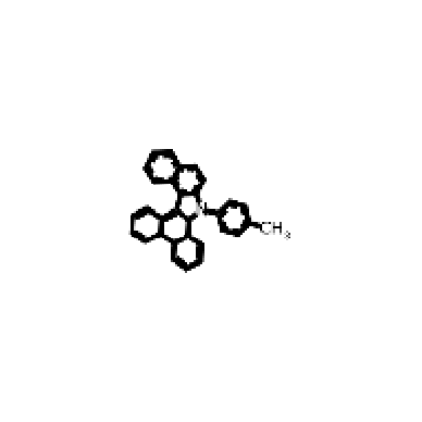 Cc1ccc(N2c3ccc4ccccc4c3C3=C4C=CC=CC4C4C=CC=CC4C32)cc1